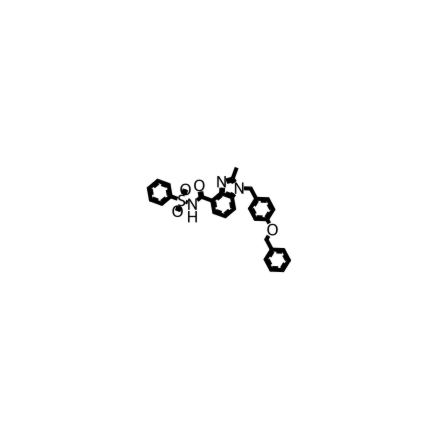 Cc1nc2c(C(=O)NS(=O)(=O)c3ccccc3)cccc2n1Cc1ccc(OCc2ccccc2)cc1